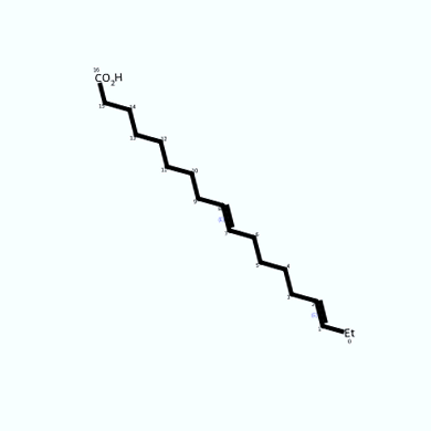 CC/C=C/CCCC/C=C/CCCCCCCC(=O)O